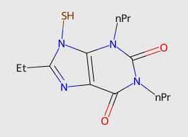 CCCn1c(=O)c2nc(CC)n(S)c2n(CCC)c1=O